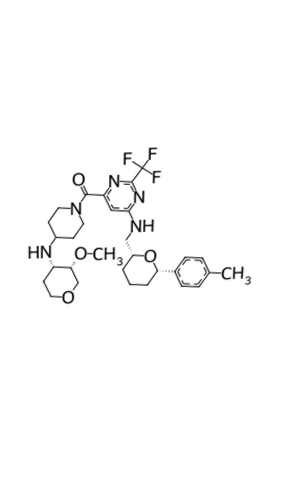 CO[C@@H]1COCC[C@@H]1NC1CCN(C(=O)c2cc(NC[C@H]3CCC[C@@H](c4ccc(C)cc4)O3)nc(C(F)(F)F)n2)CC1